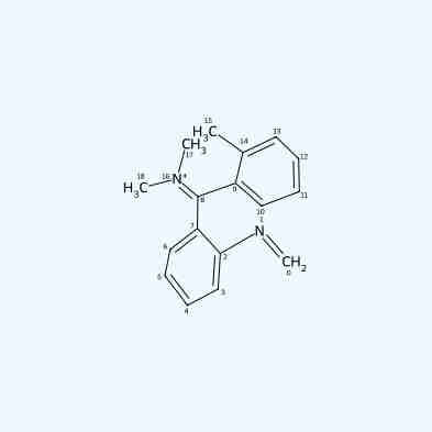 C=Nc1ccccc1C(c1ccccc1C)=[N+](C)C